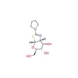 OC[C@H]1O[C@@H]2SC(N3CCCC3)=N[C@@H]2[C@@H](O)[C@@H]1O